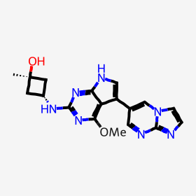 COc1nc(N[C@H]2C[C@](C)(O)C2)nc2[nH]cc(-c3cnc4nccn4c3)c12